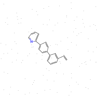 C=Cc1cccc(-c2ccc(-c3ccccn3)cc2)c1